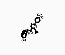 CS(=O)(=O)N1CCN(c2ncc(C(=O)N[C@H]3C4CC5CC3C[C@@](O)(C5)C4)c(C3CC3)n2)CC1